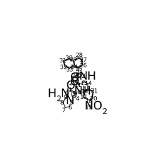 NC(=O)[C@H](CN1CCCC1)NC(=O)C(Cc1ccc([N+](=O)[O-])cc1)NC(=O)c1cccc2ccccc12